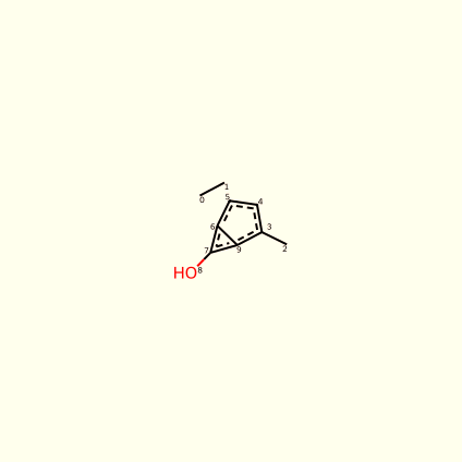 CC.Cc1ccc2c(O)c1-2